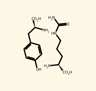 NC(=O)NCCC[C@H](N)C(=O)O.N[C@@H](Cc1ccc(O)cc1)C(=O)O